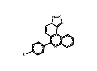 Brc1ccc(-c2nc3ccccc3c3c2C=CC2NSN=C32)cc1